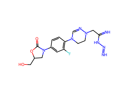 N=NNC(=N)CN1CCN(c2ccc(N3CC(CO)OC3=O)cc2F)C=N1